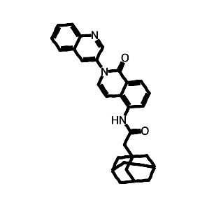 O=C(CC12CC3CC(CC(C3)C1)C2)Nc1cccc2c(=O)n(-c3cnc4ccccc4c3)ccc12